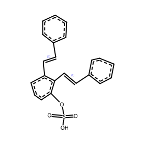 O=S(=O)(O)Oc1cccc(/C=C/c2ccccc2)c1/C=C/c1ccccc1